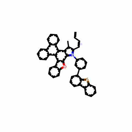 C=C/C=C\c1c(C)c2c3c4ccccc4c4ccccc4c3c3c4ccccc4oc3c2n1-c1cccc(-c2cccc3c2sc2ccccc23)c1